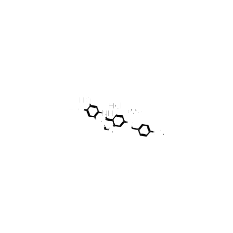 COc1cc2c(Nc3cc(O)c(C)cc3F)ncnc2cc1OCc1ccc(C#N)cc1.Cl